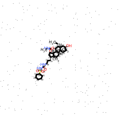 CC[C@H]1[C@@H](OC(=O)NC)[C@@H]2[C@H](CC[C@]3(C)[C@@H](CCCNC(=O)NS(=O)(=O)C4CCCCC4)CC[C@@H]23)[C@@]2(C)CC[C@@H](O)C[C@@H]12